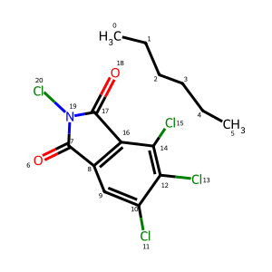 CCCCCC.O=C1c2cc(Cl)c(Cl)c(Cl)c2C(=O)N1Cl